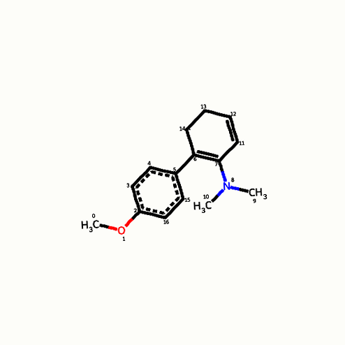 COc1ccc(C2=C(N(C)C)C=CC[CH]2)cc1